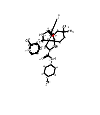 CC1(C)CCC2(CC1)N[C@@H](C(=O)N[C@H]1CC[C@H](O)CC1)[C@H](c1ccnc(Cl)c1)[C@]21C(=O)Nc2cc(Cl)ccc21